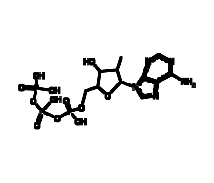 CC1C(O)C(COP(=O)(O)OP(=O)(O)OP(=O)(O)O)OC1n1cnc2c(N)ncnc21